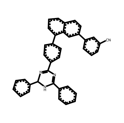 N#Cc1cccc(-c2ccc3cccc(-c4ccc(C5=NC(c6ccccc6)NC(c6ccccc6)=N5)cc4)c3c2)c1